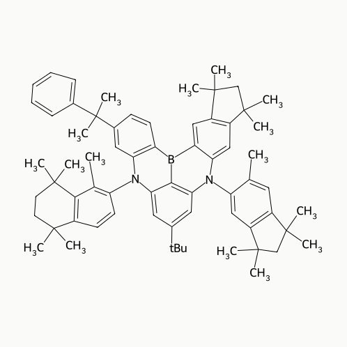 Cc1cc2c(cc1N1c3cc4c(cc3B3c5ccc(C(C)(C)c6ccccc6)cc5N(c5ccc6c(c5C)C(C)(C)CCC6(C)C)c5cc(C(C)(C)C)cc1c53)C(C)(C)CC4(C)C)C(C)(C)CC2(C)C